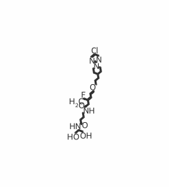 C=C(F)/C(=C\C=C\OCCCC1CCN(c2ncc(Cl)cn2)CC1)CC(=O)NCCCC(=O)NC(CO)CO